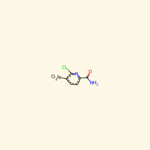 NC(=O)c1ccc([N+](=O)[O-])c(Cl)n1